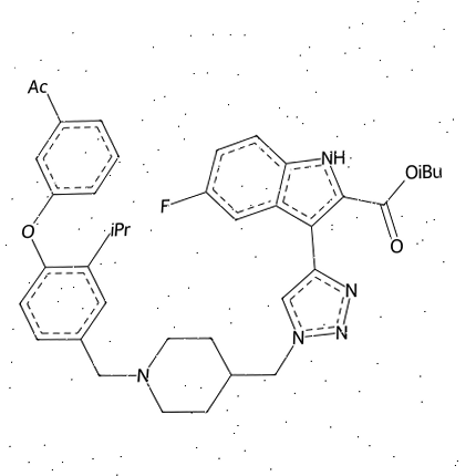 CC(=O)c1cccc(Oc2ccc(CN3CCC(Cn4cc(-c5c(C(=O)OCC(C)C)[nH]c6ccc(F)cc56)nn4)CC3)cc2C(C)C)c1